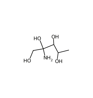 CC(O)C(O)C(N)(O)CO